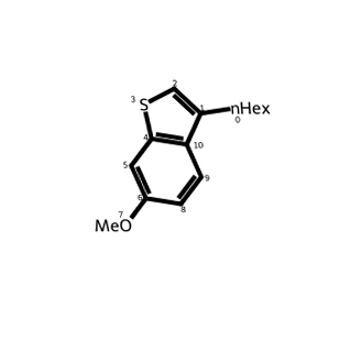 CCCCCCc1csc2cc(OC)ccc12